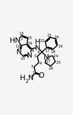 NC(=O)CCCC(Nc1ncnc2[nH]ccc12)(c1ccccc1)N1CCCC1